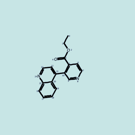 CCOC(=O)c1ccncc1-c1ccnc2ccccc12